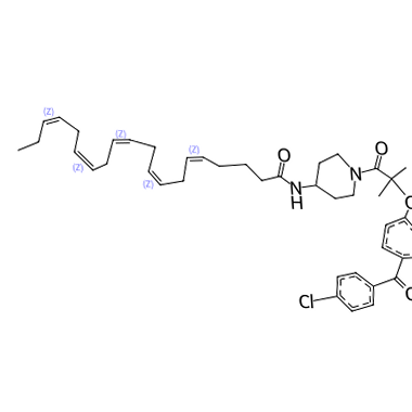 CC/C=C\C/C=C\C/C=C\C/C=C\C/C=C\CCCC(=O)NC1CCN(C(=O)C(C)(C)Oc2ccc(C(=O)c3ccc(Cl)cc3)cc2)CC1